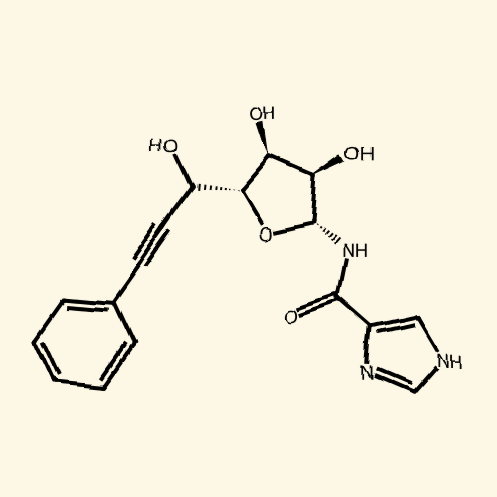 O=C(N[C@@H]1O[C@H](C(O)C#Cc2ccccc2)[C@@H](O)[C@H]1O)c1c[nH]cn1